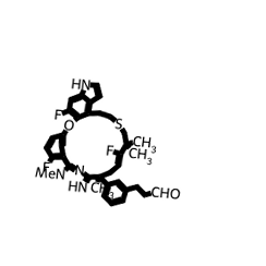 CN/C1=N\C(=N)C(C)(c2cccc(CCC=O)c2)C/C=C(\F)C(C)(C)CSCCc2c(c(F)cc3[nH]ccc23)Oc2ccc(F)c1c2